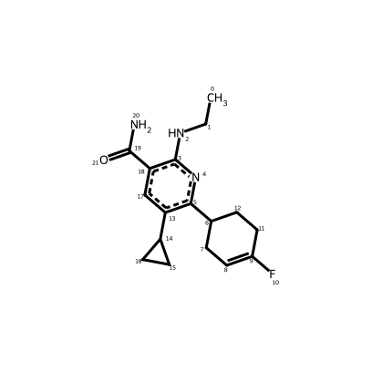 CCNc1nc(C2CC=C(F)CC2)c(C2CC2)cc1C(N)=O